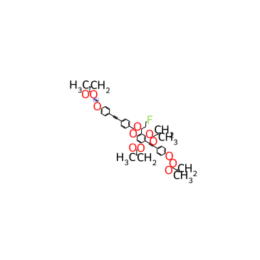 C=C(C)C(=O)O/C=C/Oc1ccc(C#Cc2ccc(C(=O)Oc3cc(OC(=O)C(=C)C)c(C#Cc4ccc(OCOC(=O)C(=C)C)cc4)c(OC(=O)C(=C)C)c3CCCF)cc2)cc1